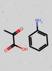 CC(=O)C(=O)O.Nc1ccccc1